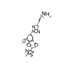 COc1cc(Cn2cnc3cc(C#CC(C)(C)N)cnc32)cc2c1OC(c1csc(C)n1)CO2